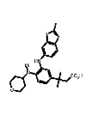 CCN(c1ccc(C(C)(C)CC(=O)O)cc1Nc1ccc2nc(C)sc2c1)C1CCOCC1